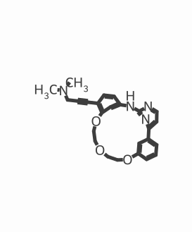 CN(C)CC#Cc1ccc2cc1OCCOCCOc1cccc(c1)-c1ccnc(n1)N2